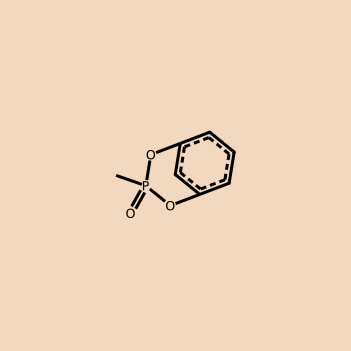 CP1(=O)Oc2cccc(c2)O1